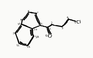 O=C(CCCCl)c1cccc2ccccc12